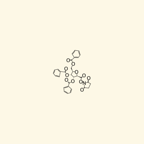 O=C(OC[C@H]1O[C@@H](C(=O)ON2C(=O)CCC2=O)[C@H](OC(=O)c2ccccc2)[C@@H]1OC(=O)c1ccccc1)c1ccccc1